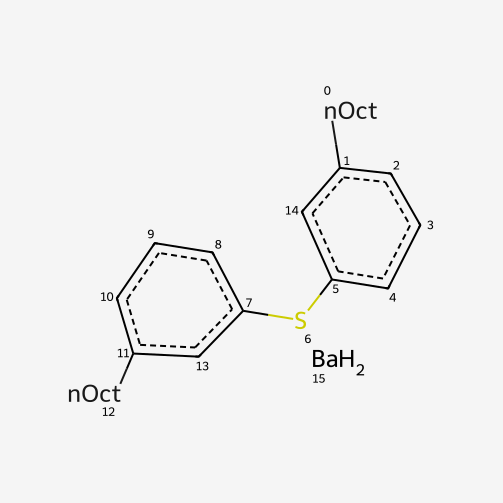 CCCCCCCCc1cccc(Sc2cccc(CCCCCCCC)c2)c1.[BaH2]